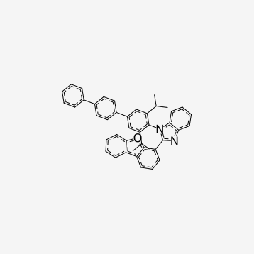 CC(C)c1cc(-c2ccc(-c3ccccc3)cc2)cc(C(C)C)c1-n1c(-c2cccc3c2oc2ccccc23)nc2ccccc21